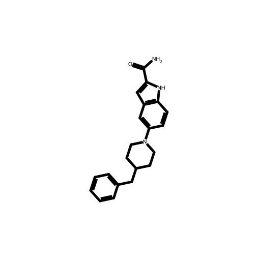 NC(=O)c1cc2cc(N3CCC(Cc4ccccc4)CC3)ccc2[nH]1